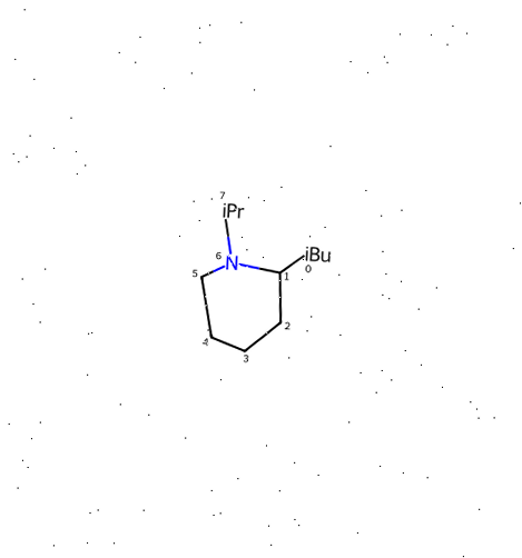 CCC(C)C1CCCCN1C(C)C